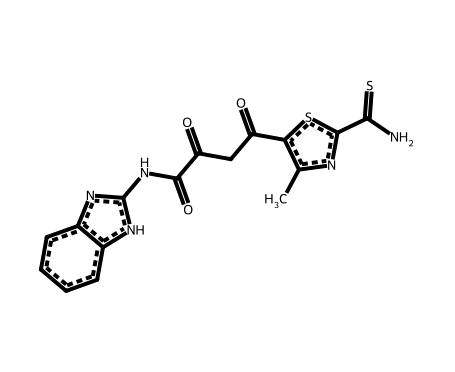 Cc1nc(C(N)=S)sc1C(=O)CC(=O)C(=O)Nc1nc2ccccc2[nH]1